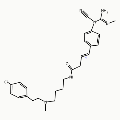 CN=C(N)N(C#N)c1ccc(/C=C/CC(=O)NCCCCN(C)CCc2ccc(Cl)cc2)cc1